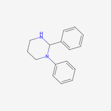 c1ccc(C2NCCCN2c2ccccc2)cc1